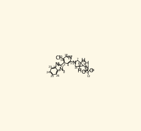 Cn1c(-c2cc(N3C[C@@H]4C(NS(C)(=O)=O)[C@@H]4C3)ncc2Cl)nc2ccccc21